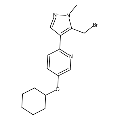 Cn1ncc(-c2ccc(OC3CCCCC3)cn2)c1CBr